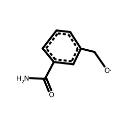 NC(=O)c1cccc(C[O])c1